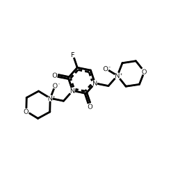 O=c1c(F)cn(C[N+]2([O-])CCOCC2)c(=O)n1C[N+]1([O-])CCOCC1